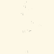 CCN1CN(c2ccccc2)C2(CCN(C(=O)[C@H](N)Cc3ccc(Cl)cc3)CC2)C1=O